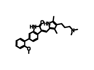 COc1ccccc1-c1ccc2c(c1)NC(=O)/C2=C\c1[nH]c(C)c(CCCN(C)C)c1C